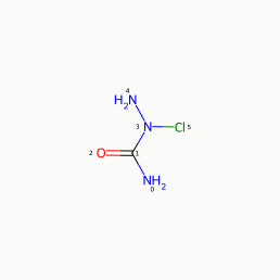 NC(=O)N(N)Cl